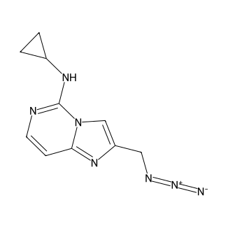 [N-]=[N+]=NCc1cn2c(NC3CC3)nccc2n1